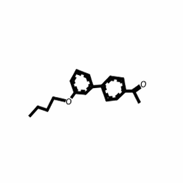 CCCCOc1cccc(-c2ccc(C(C)=O)cc2)c1